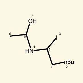 CCCCCC(I)NC(C)O